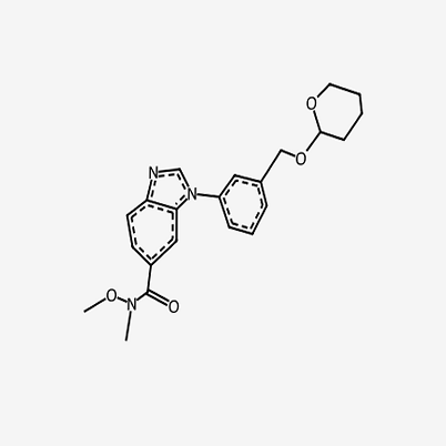 CON(C)C(=O)c1ccc2ncn(-c3cccc(COC4CCCCO4)c3)c2c1